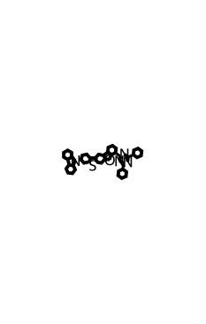 c1ccc(-c2nc(-c3ccccc3)nc(-c3cccc4c3oc3cc5sc6cc(-n7c8ccccc8c8ccccc87)ccc6c5cc34)n2)cc1